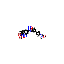 COc1ccc(-c2ccc(N(C)C=O)cc2)cc1CNC1CCC(C(NC(=O)O)C(C)(C)C)CC1